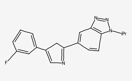 CC(C)n1nnc2cc(C3=NC=C(c4cccc(F)c4)C3)ccc21